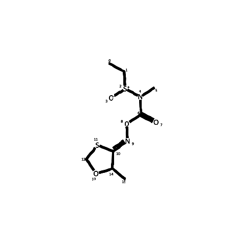 CC[S+]([O-])N(C)C(=O)ON=C1SCOC1C